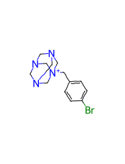 Brc1ccc(C[N+]23CN4CN(CN(C4)C2)C3)cc1